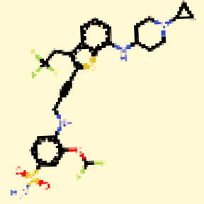 NS(=O)(=O)c1ccc(NCC#Cc2sc3c(NC4CCN(C5CC5)CC4)cccc3c2CC(F)(F)F)c(OC(F)F)c1